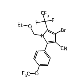 CCOCn1c(-c2ccc(OC(F)(F)F)cc2)c(C#N)c(Br)c1C(F)(F)C(F)(F)F